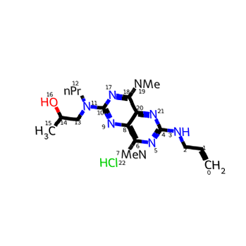 C=CCNc1nc(NC)c2nc(N(CCC)CC(C)O)nc(NC)c2n1.Cl